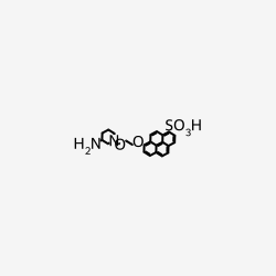 NC1CCCN(OCCOc2ccc3ccc4ccc(S(=O)(=O)O)c5ccc2c3c45)C1